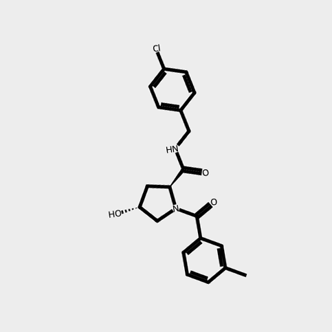 Cc1cccc(C(=O)N2C[C@H](O)C[C@H]2C(=O)NCc2ccc(Cl)cc2)c1